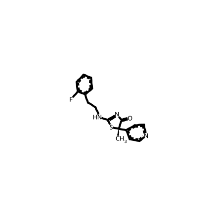 C[C@@]1(c2ccncc2)SC(NCCc2ccccc2F)=NC1=O